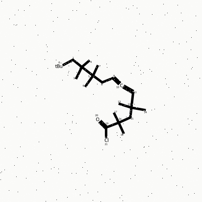 CC(C)(C)CC(C)(C)C(C)(C)CC=C=CC(C)(C)CC(C)(C)C(=O)Cl